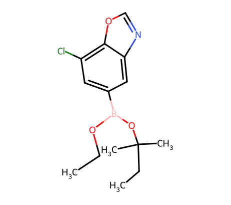 CCOB(OC(C)(C)CC)c1cc(Cl)c2ocnc2c1